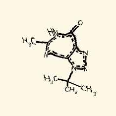 Cc1nc2c(nnn2C(C)(C)C)c(=O)[nH]1